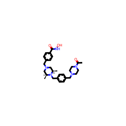 CC(=O)N1CCN(Cc2ccc(CN3[C@H](C)CN(Cc4ccc(C(=O)NO)cc4)C[C@@H]3C)cc2)CC1